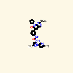 CNc1ncc2cc(-c3cccc(NC(=O)Nc4cc(C(C)(C)C)nn4-c4ccc(C#N)nc4)c3)c(=O)n(C3CCCC3)c2n1